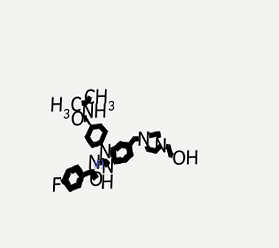 CC(C)NC(=O)[C@H]1CC[C@@H](n2/c(=N/C(=O)c3ccc(F)cc3)[nH]c3ccc(CN4CCN(CCO)CC4)cc32)CC1